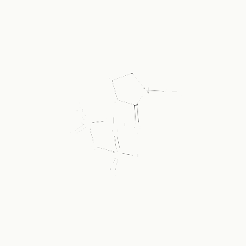 CN1CCCC1=O.O=S(=O)(O)OS(=O)(=O)O